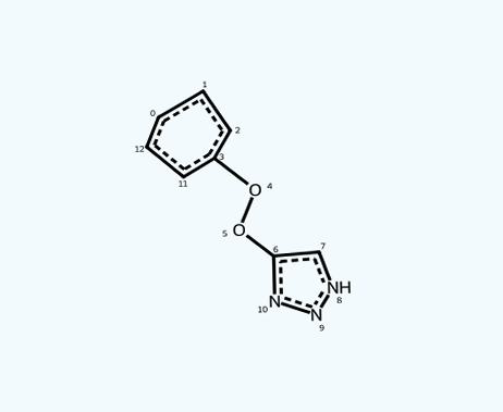 c1ccc(OOc2c[nH]nn2)cc1